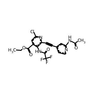 CCOC(=O)c1cc(Cl)nc(C#Cc2ccnc(NC(C)=O)c2)c1NC(=O)C(F)(F)F